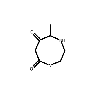 CC1NCCNC(=O)CC1=O